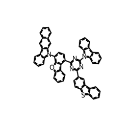 c1ccc2cc3c(cc2c1)c1ccccc1n3-c1ccc(-c2nc(-c3ccc4sc5ccccc5c4c3)nc(-n3c4ccccc4c4ccccc43)n2)c2c1oc1ccccc12